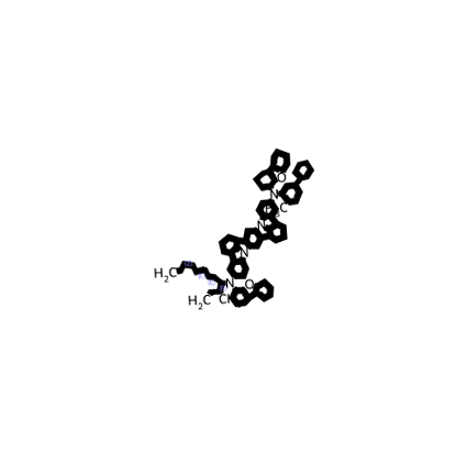 C=C\C=C/C=C/C=C/C(=C(/C)C=C)N(c1ccc2c(c1)c1cccc3c4cc5c(cc4n2c13)c1cccc2c3cc(N(C4=CCCc6c4oc4ccccc64)c4cc(C6=CCCC=C6)ccc4C)ccc3n5c21)c1cccc2c1oc1ccccc12